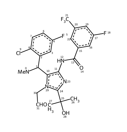 CNC(c1cc(F)ccc1Cl)c1c(NC(=O)c2cc(F)cc(C(F)(F)F)c2)nc(C(C)(C)O)n1CC=O